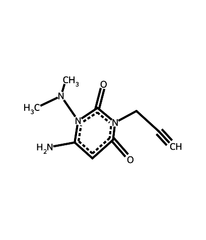 C#CCn1c(=O)cc(N)n(N(C)C)c1=O